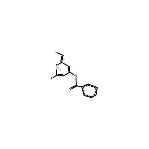 C\C(F)=C/C(=C\C(F)=C\F)OC(=S)c1ccccc1